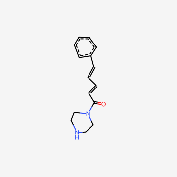 O=C(C=CC=Cc1ccccc1)N1CCNCC1